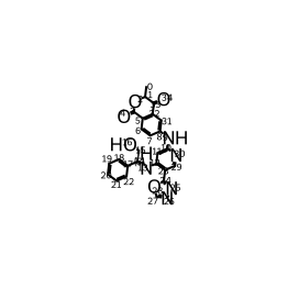 CC1OC(=O)c2ccc(Nc3cc(N[C@H](CO)c4ccccc4)c(-c4nnco4)cn3)cc2C1=O